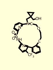 O=S1(=O)Nc2ccc(C(F)(F)F)c(n2)-c2ccccc2CCCOCCN(CC2(CO)CC2)c2cccc1n2